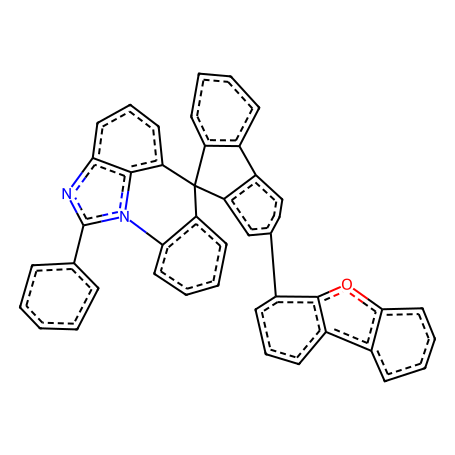 c1ccc(-c2nc3cccc4c3n2-c2ccccc2C42c3ccccc3-c3ccc(-c4cccc5c4oc4ccccc45)cc32)cc1